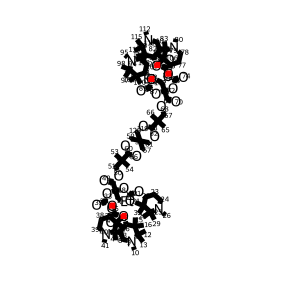 CCC(OC(=O)OC1CCN(C)C(C)(C)C1(C)C)C(OC(=O)OC1CCN(C)C(C)(C)C1(C)C)(OC(=O)OC1CCN(C)C(C)(C)C1(C)C)C(=O)OCC(C)(C)C1OCC2(CO1)COC(C(C)(C)COC(=O)C(OC(=O)OC1CCN(C)C(C)(C)C1(C)C)(OC(=O)OC1CCN(C)C(C)(C)C1(C)C)C(CC)OC(=O)OC1CCN(C)C(C)(C)C1(C)C)OC2